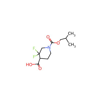 CC(C)COC(=O)N1CCC(C(=O)O)C(F)(F)C1